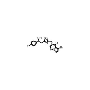 O=c1c2c(Br)cnn2ncn1Cc1nc(CC(O)c2ccc(Cl)cc2)no1